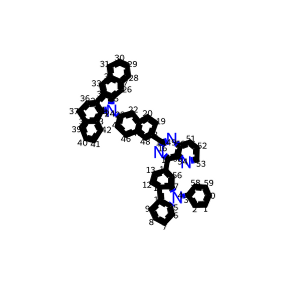 c1ccc(-n2c3ccccc3c3ccc(-c4nc(-c5ccc6cc(-n7c8cc9ccccc9cc8c8ccc9ccccc9c87)ccc6c5)nc5cccnc45)cc32)cc1